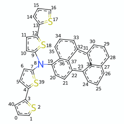 c1csc(-c2ccc(N(c3ccc(-c4cccs4)s3)c3ccc4c5cccc6cccc(c7cccc3c74)c65)s2)c1